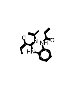 C=CC(=O)Nc1ccccc1NC(=N/C(=C)C)/C(Cl)=C\C